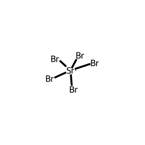 [Br][Sr]([Br])([Br])([Br])[Br]